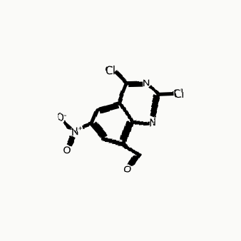 O=Cc1cc([N+](=O)[O-])cc2c(Cl)nc(Cl)nc12